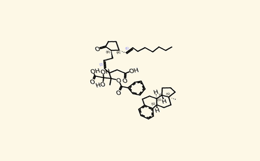 CCCCCC/C=C/[C@H]1CCC(=O)[C@@H]1C/C=C\C(CC(=O)O)C(C)(OC(=O)c1ccccc1)C(O)(O)C(=O)O.C[C@@]12CCC[C@H]1[C@@H]1CCc3ccccc3[C@H]1CC2